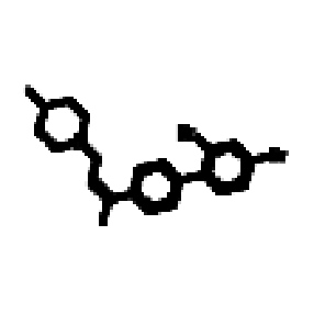 CC(=CCN1CCC(C)CC1)c1ccc(-c2ccc(Br)cc2Br)cc1